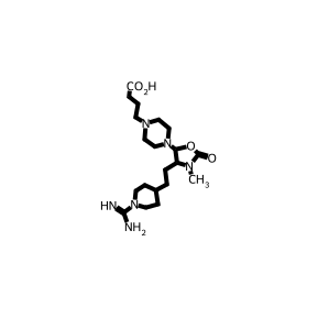 CN1C(=O)OC(N2CCN(CCCC(=O)O)CC2)C1CCC1CCN(C(=N)N)CC1